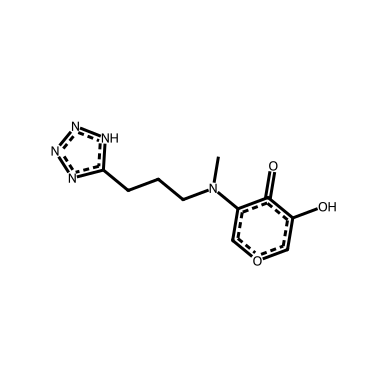 CN(CCCc1nnn[nH]1)c1cocc(O)c1=O